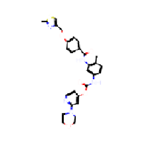 Cc1nc(COc2ccc(C(=O)Nc3cc(NC(=O)Oc4ccnc(N5CCOCC5)c4)ccc3C)cc2)cs1